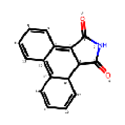 O=C1NC(=O)C2C1=c1ccccc1=C1C=CC=CC12